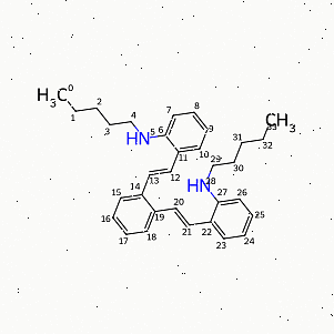 CCCCCNc1ccccc1/C=C/c1ccccc1/C=C/c1ccccc1NCCCCC